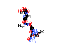 CCc1c2c(nc3ccc(OC(=O)N(C)C4CN(C(=O)OCc5ccc(NC(=O)[C@H](CCCNC(N)=O)NC(=O)[C@@H](NC(=O)CCC(C)=O)C(C)C)cc5)C4)cc13)-c1cc3c(c(=O)n1C2)COC(=O)[C@]3(O)CC